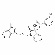 O=C(CC1(O)C(=O)N(CCCc2c[nH]c3ccccc23)c2ccccc21)c1cccc(Cl)c1